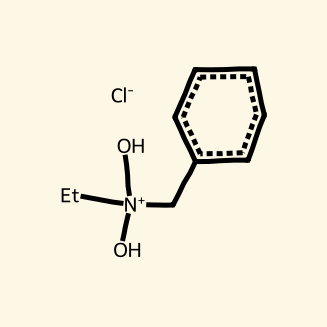 CC[N+](O)(O)Cc1ccccc1.[Cl-]